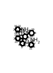 CCCCCCC1(C2CCC(c3ccccc3Oc3ccccc3N)(c3ccccc3Oc3ccccc3N)CC2)CCCCC1